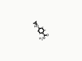 C1=CC1.NC(=O)c1ccc(O)cc1